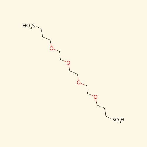 O=S(=O)(O)CCCOCCOCCOCCOCCCS(=O)(=O)O